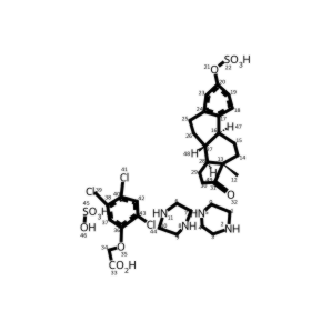 C1CNCCN1.C1CNCCN1.C[C@]12CC[C@@H]3c4ccc(OS(=O)(=O)O)cc4CC[C@H]3[C@@H]1CCC2=O.O=C(O)COc1cc(Cl)c(Cl)cc1Cl.O=S(=O)(O)O